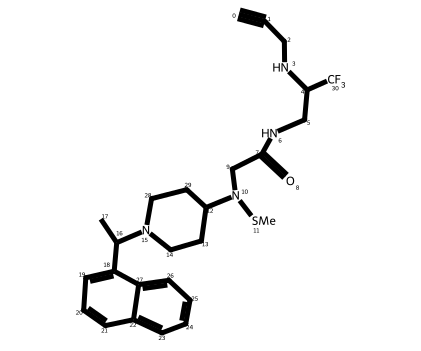 C#CCNC(CNC(=O)CN(SC)C1CCN(C(C)c2cccc3ccccc23)CC1)C(F)(F)F